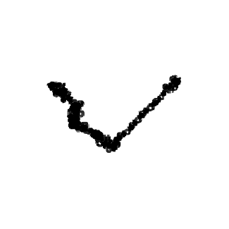 COc1cc2c(cc1OCCCOc1cc3c(cc1OC)C(=O)N1CCC[C@@]1(C)C=N3)N=CC1(C)Cc3ccc(N(C)C(=O)OCc4ccc(NC(=O)[C@H](C)NC(=O)[C@@H](NC(=O)CCOCCOCCOCCOCCOCCOCCOCCOCCCNC(=O)CCN5C(=O)C=CC5=O)C(C)C)cc4)cc3CN1C2=O